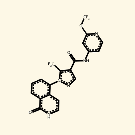 O=C(Nc1ccnc(OC(F)(F)F)c1)c1cnn(-c2cccc3c(=O)[nH]ccc23)c1C(F)(F)F